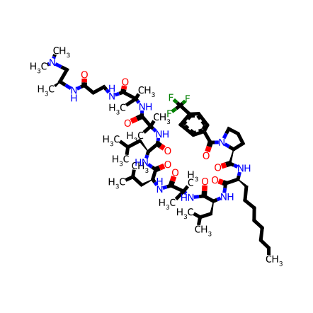 CCCCCCCC[C@H](NC(=O)[C@@H]1CCCN1C(=O)c1ccc(C(F)(F)F)cc1)C(=O)N[C@@H](CC(C)C)C(=O)NC(C)(C)C(=O)N[C@@H](CC(C)C)C(=O)N[C@@H](CC(C)C)C(=O)NC(C)(C)C(=O)NC(C)(C)C(=O)NCCC(=O)N[C@@H](C)CN(C)C